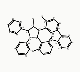 Cc1cccc(C)c1C1N(c2ccccc2)C(c2ccccc2)[C@H](C)N1c1c(C)ccc2c1oc1ncccc12